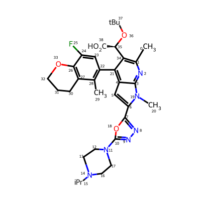 Cc1nc2c(cc(-c3nnc(N4CCN(C(C)C)CC4)o3)n2C)c(-c2cc(F)c3c(c2C)CCCO3)c1[C@H](OC(C)(C)C)C(=O)O